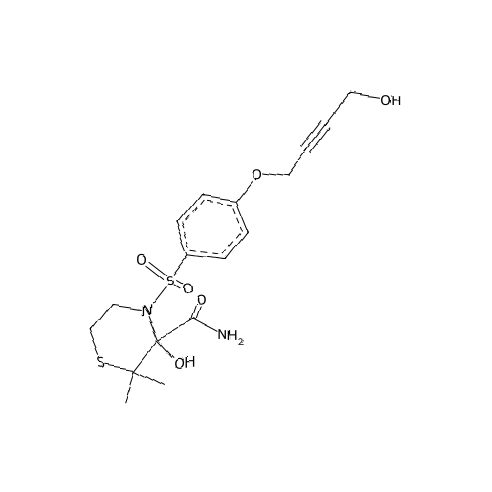 CC1(C)SCCN(S(=O)(=O)c2ccc(OCC#CCO)cc2)C1(O)C(N)=O